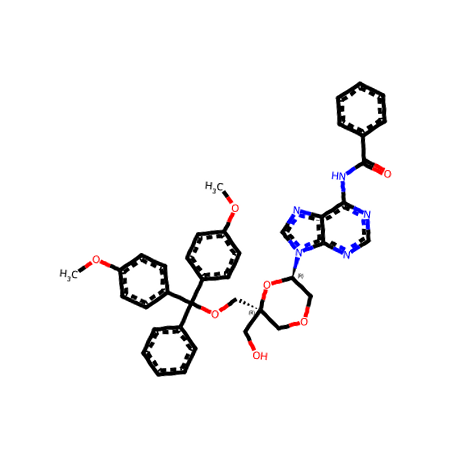 COc1ccc(C(OC[C@@]2(CO)COC[C@H](n3cnc4c(NC(=O)c5ccccc5)ncnc43)O2)(c2ccccc2)c2ccc(OC)cc2)cc1